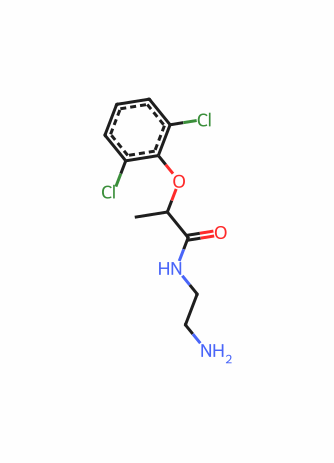 CC(Oc1c(Cl)cccc1Cl)C(=O)NCCN